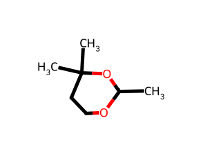 C[C]1OCCC(C)(C)O1